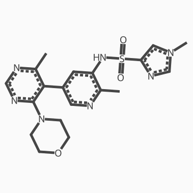 Cc1ncc(-c2c(C)ncnc2N2CCOCC2)cc1NS(=O)(=O)c1cn(C)cn1